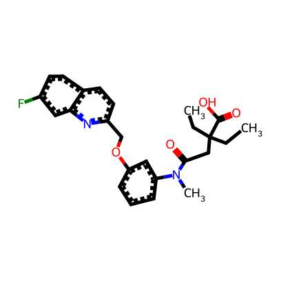 CCC(CC)(CC(=O)N(C)c1cccc(OCc2ccc3ccc(F)cc3n2)c1)C(=O)O